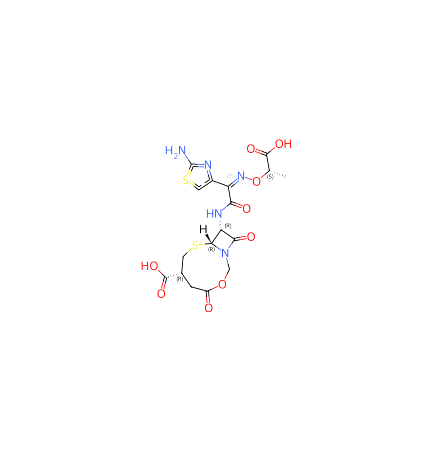 C[C@H](O/N=C(\C(=O)N[C@@H]1C(=O)N2COC(=O)C[C@H](C(=O)O)CS[C@H]12)c1csc(N)n1)C(=O)O